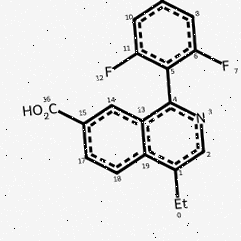 CCc1cnc(-c2c(F)cccc2F)c2cc(C(=O)O)ccc12